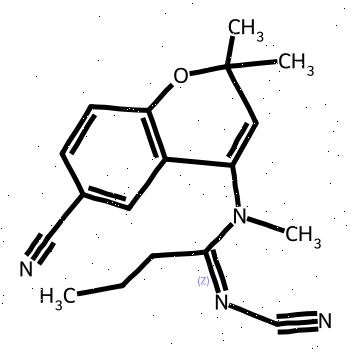 CCC/C(=N/C#N)N(C)C1=CC(C)(C)Oc2ccc(C#N)cc21